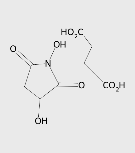 O=C(O)CCC(=O)O.O=C1CC(O)C(=O)N1O